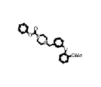 COc1ccccc1Oc1cccc(CN2CCN(C(=O)Oc3ccccc3)CC2)c1